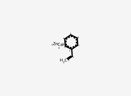 C=Cc1ccccc1.[CaH2].[Zn]